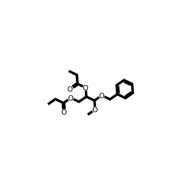 CCC(=O)OCC(OC(=O)CC)C(OC)OCc1ccccc1